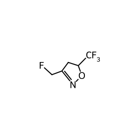 FCC1=NOC(C(F)(F)F)C1